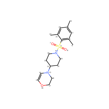 Cc1cc(C)c(S(=O)(=O)N2CCC(N3C=COCC3)CC2)c(C)c1